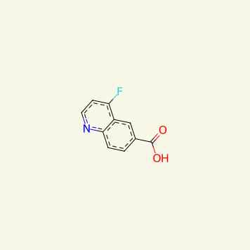 O=C(O)c1ccc2nccc(F)c2c1